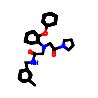 Cc1cccc(CNC(=O)CN(CC(=O)N2CCCC2)c2ccccc2Oc2ccccc2)c1